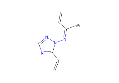 C=C/C(=N\n1ncnc1C=C)C(C)C